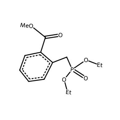 CCOP(=O)(Cc1ccccc1C(=O)OC)OCC